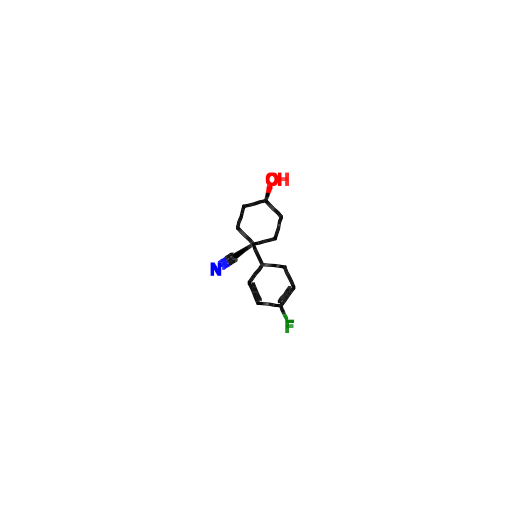 N#C[C@]1(C2C=CC(F)=CC2)CC[C@H](O)CC1